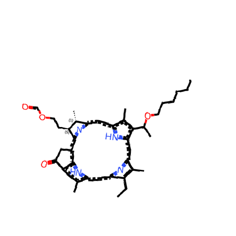 CCCCCCOC(C)c1c(C)c2cc3nc(c4c5[nH]c(cc6nc(cc1[nH]2)C(C)=C6CC)c(C)c5C(=O)C4)[C@@H](CCOC=O)[C@@H]3C